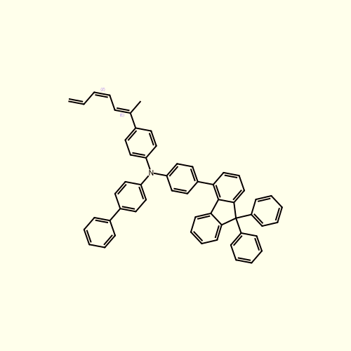 C=C/C=C\C=C(/C)c1ccc(N(c2ccc(-c3ccccc3)cc2)c2ccc(-c3cccc4c3-c3ccccc3C4(c3ccccc3)c3ccccc3)cc2)cc1